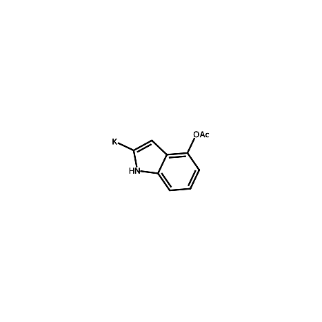 CC(=O)Oc1cccc2[nH][c]([K])cc12